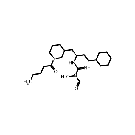 CCCCC(=O)N1CCCC(C[C@@H](CCC2CCCCC2)NC(=N)N(C)C=O)C1